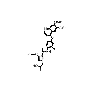 COc1cc2nccc(Oc3ccc(NC(=O)c4nn(CC(C)O)cc4OCC(F)(F)F)c(F)c3)c2cc1OC